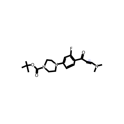 CN(C)/C=C/C(=O)c1ccc(N2CCN(C(=O)OC(C)(C)C)CC2)cc1F